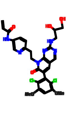 C=CC(=O)Nc1ccc(CCn2c(=O)c(-c3c(Cl)c(OC)cc(OC)c3Cl)cc3cnc(NCC(O)CO)nc32)nc1